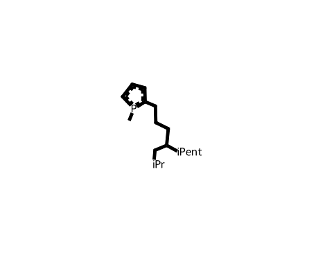 CCCC(C)C(CCCc1cccp1C)CC(C)C